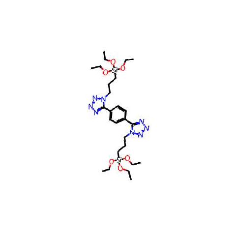 CCO[Si](CCCn1nnnc1-c1ccc(-c2nnnn2CCC[Si](OCC)(OCC)OCC)cc1)(OCC)OCC